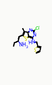 CC[C@H](N)Cc1sc2c(NCc3cccs3)nc(Cl)nc2c1C